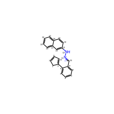 C1=CCC(c2ccccc2/C=N/Nc2ccc3ccccc3c2)=C1